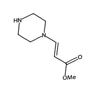 COC(=O)C=CN1CCNCC1